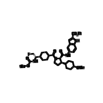 CCOC(=O)c1cc2cc(NC(=O)[C@H]3[C@@H](C4CCC(OC)CC4)CCN3C(=O)C3CCC([C@@H](CF)NC(=O)OC(C)(C)C)CC3)ccc2[nH]1